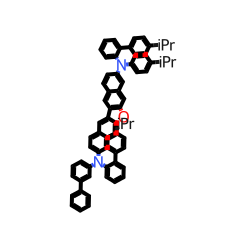 CC(C)c1ccc(-c2ccccc2N(c2ccc(C(C)C)cc2)c2ccc3cc4c(cc3c2)oc2cc3cc(N(c5cccc(-c6ccccc6)c5)c5ccccc5-c5ccc(C(C)C)cc5)ccc3cc24)cc1